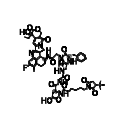 CC[C@@]1(O)C(=O)OCc2c1cc1n(c2=O)Cc2c-1nc1cc(F)c(C)c3c1c2[C@@H](NC(=O)CNC(=O)[C@H](Cc1ccccc1)NC(=O)CNC(=O)CNC(=O)[C@H](CC(=O)O)NC(=O)CCCCCN1C(=O)CC(C(C)(C)C)C1=O)CC3